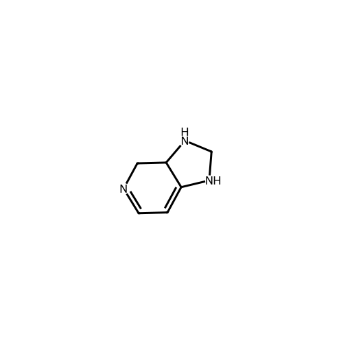 C1=NCC2NCNC2=C1